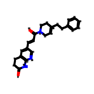 O=C1CCc2cc(C=CC(=O)N3CC=C(CCc4ccccc4)CC3)cnc2N1